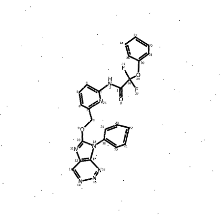 O=C(Nc1cccc(COc2nc3cnnnc3n2-c2ccccc2)n1)C(F)(F)Oc1ccccc1